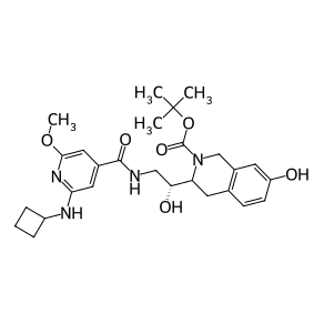 COc1cc(C(=O)NC[C@@H](O)C2Cc3ccc(O)cc3CN2C(=O)OC(C)(C)C)cc(NC2CCC2)n1